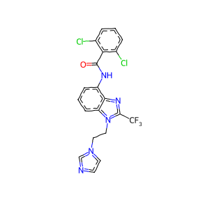 O=C(Nc1cccc2c1nc(C(F)(F)F)n2CCn1ccnc1)c1c(Cl)cccc1Cl